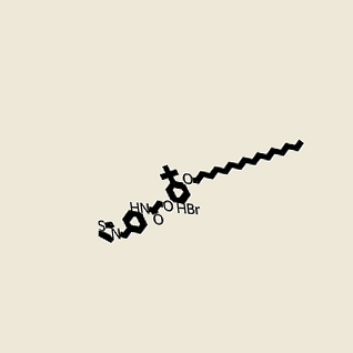 Br.CCCCCCCCCCCCCCCCOc1ccc(OCC(=O)Nc2ccc(CN3C=CSC3)cc2)cc1C(C)(C)C